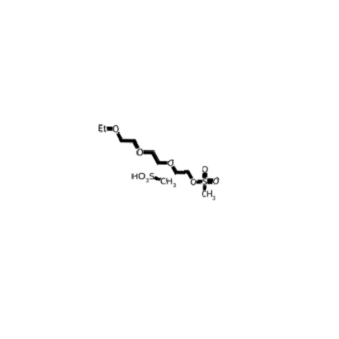 CCOCCOCCOCCOS(C)(=O)=O.CS(=O)(=O)O